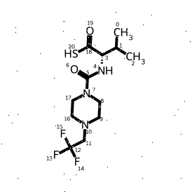 CC(C)[C@H](NC(=O)N1CCN(CC(F)(F)F)CC1)C(=O)S